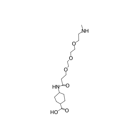 CNCCOCCOCCOCCC(=O)NC1CCC(C(=O)O)CC1